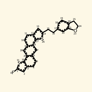 Fc1cc2ccc3cc4c(ccc5cc(CCc6ccc7c(c6)OCC7)sc54)cc3c2s1